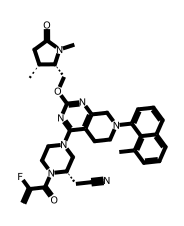 C=C(F)C(=O)N1CCN(c2nc(OC[C@@H]3[C@H](C)CC(=O)N3C)nc3c2CCN(c2cccc4cccc(C)c24)C3)C[C@@H]1CC#N